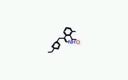 CCc1ccc(CC2=CNC(C=O)c3c(C)cccc32)cc1